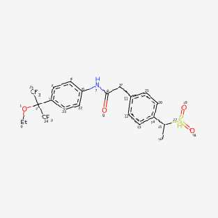 CCOC(c1ccc(NC(=O)Cc2ccc(C(C)[SH](=O)=O)cc2)cc1)(C(F)(F)F)C(F)(F)F